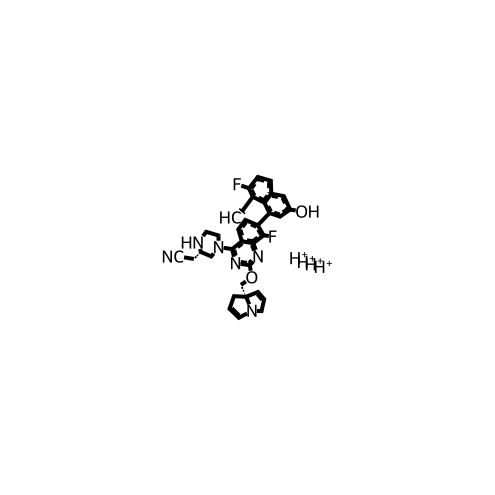 C#Cc1c(F)ccc2cc(O)cc(-c3ccc4c(N5CCN[C@@H](CC#N)C5)nc(OC[C@]56C=CCN5C=CC6)nc4c3F)c12.[H+].[H+].[H+].[H+]